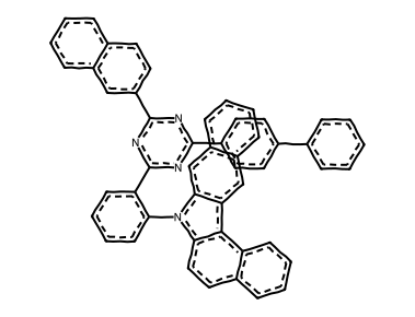 c1ccc(-c2ccc(-c3nc(-c4ccc5ccccc5c4)nc(-c4ccccc4-n4c5cc6ccccc6cc5c5c6ccccc6ccc54)n3)cc2)cc1